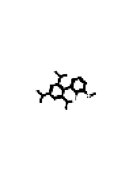 COc1cccc(-c2c(C(C)C)cc(C(C)C)cc2C(C)C)c1I